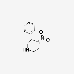 O=[N+]([O-])N1CCNCC1c1ccccc1